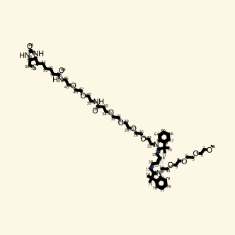 COCCOCCOCCOCC[N+]1=C(\C=C/C=C\C=C2\N(CCOCCOCCOCCOCCC(=O)NCCOCCOCCNC(=O)CCCCC3SCC4NC(=O)NC43)c3ccccc3C2(C)C)C(C)(C)c2ccccc21